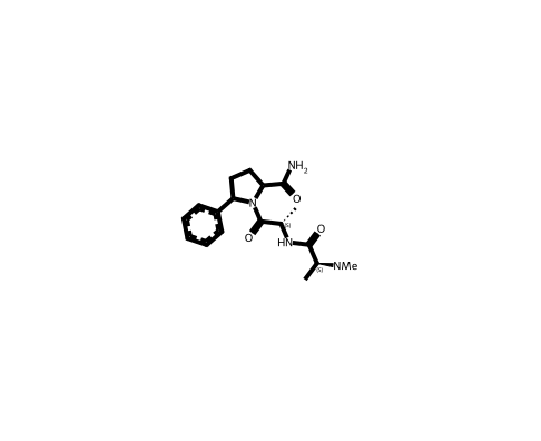 CN[C@@H](C)C(=O)N[C@@H](C)C(=O)N1C(C(N)=O)CCC1c1ccccc1